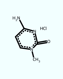 Cl.Cn1ccc(N)nc1=O